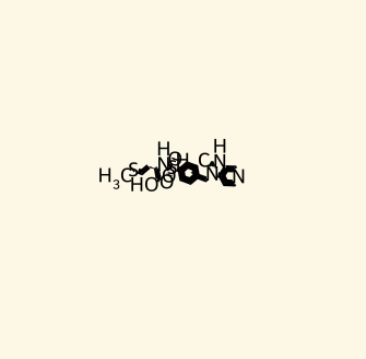 CSCC[C@H](NS(=O)(=O)c1ccc(CN2c3ccncc3NC2C)cc1)C(=O)O